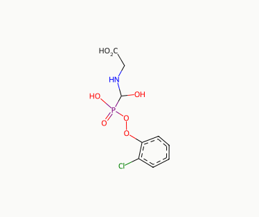 O=C(O)CNC(O)P(=O)(O)OOc1ccccc1Cl